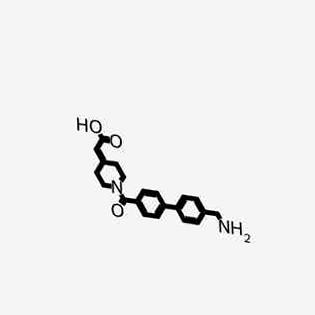 NCc1ccc(-c2ccc(C(=O)N3CCC(=CC(=O)O)CC3)cc2)cc1